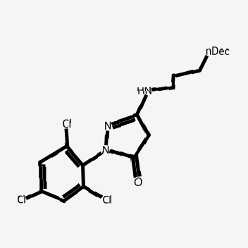 CCCCCCCCCCCCCNC1=NN(c2c(Cl)cc(Cl)cc2Cl)C(=O)C1